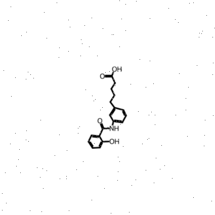 O=C(O)CCCCc1cccc(NC(=O)c2ccccc2O)c1